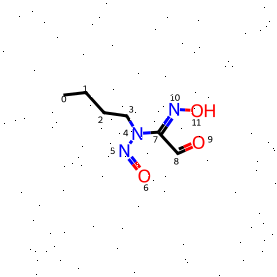 CCCCN(N=O)C(C=O)=NO